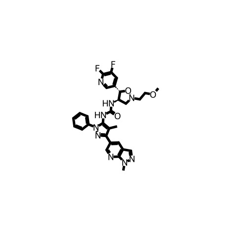 COCCN1C[C@@H](NC(=O)Nc2c(C)c(-c3cnc4c(cnn4C)c3)nn2-c2ccccc2)[C@H](c2cnc(F)c(F)c2)O1